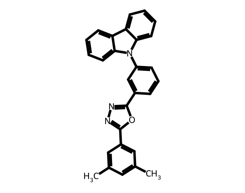 Cc1cc(C)cc(-c2nnc(-c3cccc(-n4c5ccccc5c5ccccc54)c3)o2)c1